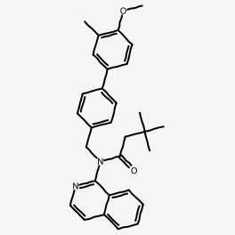 COc1ccc(-c2ccc(CN(C(=O)CC(C)(C)C)c3nccc4ccccc34)cc2)cc1C